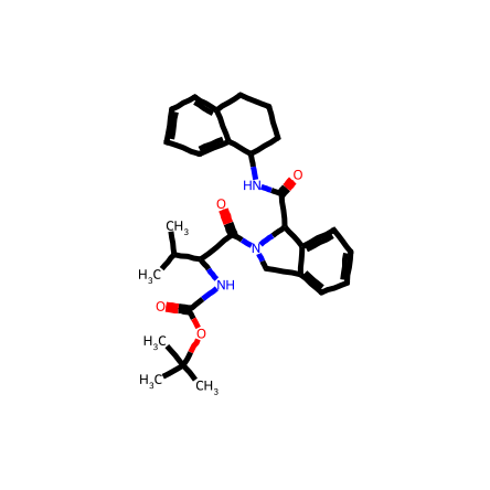 CC(C)C(NC(=O)OC(C)(C)C)C(=O)N1Cc2ccccc2C1C(=O)NC1CCCc2ccccc21